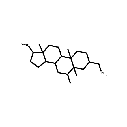 CCCC(C)C1CCC2C3CC(C)C4(C)CC(CP)CCC4(C)C3CCC12C